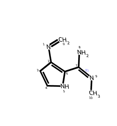 C=Nc1cc[nH]c1/C(N)=N\C